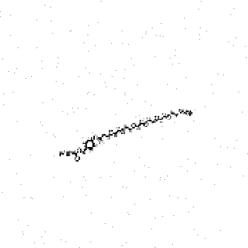 CNC(=O)OCc1ccc(OC(=O)CCOCCOCCOCCOCCOCCOCCN=[N+]=[N-])cc1